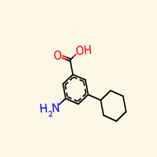 Nc1cc(C(=O)O)cc(C2CCCCC2)c1